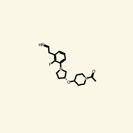 CC(=O)N1CCC(O[C@@H]2CCN(c3cccc(CC=N)c3F)C2)CC1